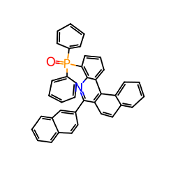 O=P(c1ccccc1)(c1ccccc1)c1cccc2c1nc(-c1ccc3ccccc3c1)c1ccc3ccccc3c12